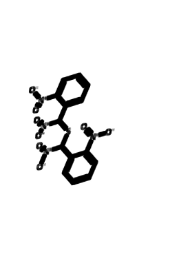 O=[N+]([O-])c1ccccc1C(SC(c1ccccc1[N+](=O)[O-])[N+](=O)[O-])[N+](=O)[O-]